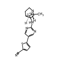 C[C@@H]1[C@@H](Nc2ncc(-c3ccc(C#N)s3)cn2)C2CCN1CC2